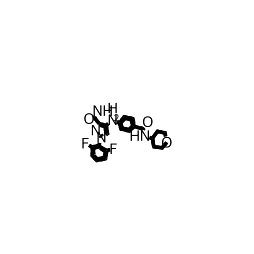 NC(=O)c1nn(-c2c(F)cccc2F)cc1Nc1ccc(C(=O)NC2CCOCC2)cc1